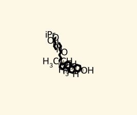 CC(C)OC(=O)N1CCN(C(=O)CCC(C)[C@H]2CC[C@H]3[C@@H]4CC[C@H]5C[C@@H](O)CC[C@]5(C)[C@H]4CC[C@]23C)CC1